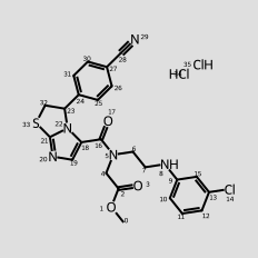 COC(=O)CN(CCNc1cccc(Cl)c1)C(=O)c1cnc2n1C(c1ccc(C#N)cc1)CS2.Cl.Cl